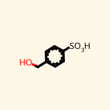 O=S(=O)(O)c1ccc(CO)cc1